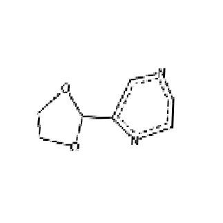 [c]1cnc(C2OCCO2)cn1